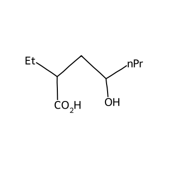 CCCC(O)CC(CC)C(=O)O